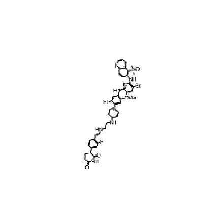 CCc1cc(Nc2ncc(Br)c(Nc3ccc4nccnc4c3P(C)(C)=O)n2)c(OC)cc1N1CCC(NCCNCCc2ccc(C3CCC(=O)NC3=O)cc2F)CC1